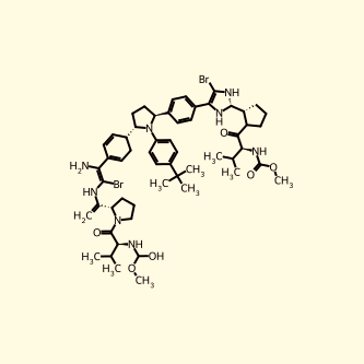 C=C(N/C(Br)=C(\N)C1=CCC([C@@H]2CC[C@@H](c3ccc(C4=C(Br)N[C@H]([C@@H]5CCCC5C(=O)[C@@H](NC(=O)OC)C(C)C)N4)cc3)N2c2ccc(C(C)(C)C)cc2)C=C1)[C@@H]1CCCN1C(=O)[C@@H](NC(O)OC)C(C)C